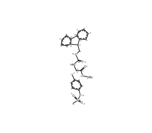 CC(C)(C)OC(=O)[C@H](Cc1ccc(OS(C)(=O)=O)cc1)NC(=O)OCC1c2ccccc2-c2ccccc21